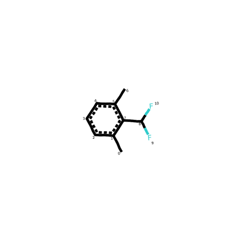 Cc1cccc(C)c1C(F)F